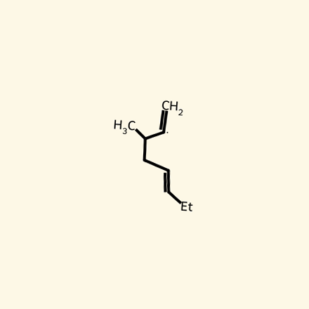 C=[C]C(C)CC=CCC